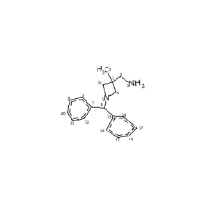 CC1(CN)CN(C(c2ccccc2)c2ccccc2)C1